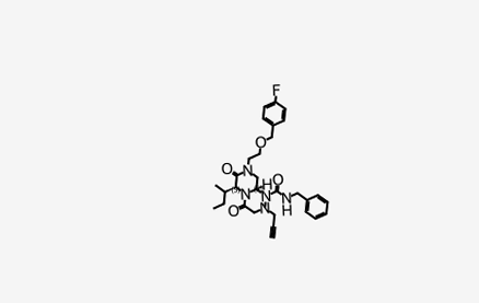 C#CCN1CC(=O)N2[C@@H](C(C)CC)C(=O)N(CCOCc3ccc(F)cc3)C[C@@H]2N1C(=O)NCc1ccccc1